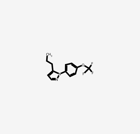 CCCc1ccnn1-c1ccc(OC(F)(F)F)cc1